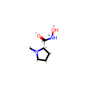 CN1CCC[C@H]1C(=O)NO